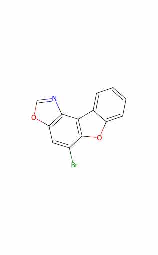 Brc1cc2ocnc2c2c1oc1ccccc12